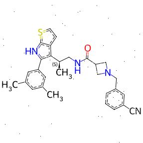 Cc1cc(C)cc(-c2[nH]c3sccc3c2[C@H](C)CNC(=O)C2CN(Cc3cccc(C#N)c3)C2)c1